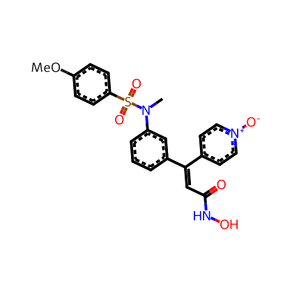 COc1ccc(S(=O)(=O)N(C)c2cccc(/C(=C/C(=O)NO)c3cc[n+]([O-])cc3)c2)cc1